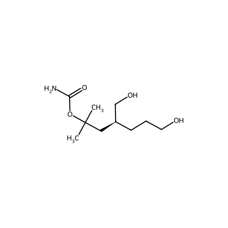 CC(C)(C[C@@H](CO)CCCO)OC(N)=O